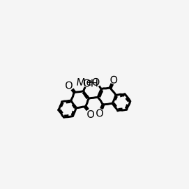 COC1=C(C2=C(O)C(=O)c3ccccc3C2=O)C(=O)c2ccccc2C1=O